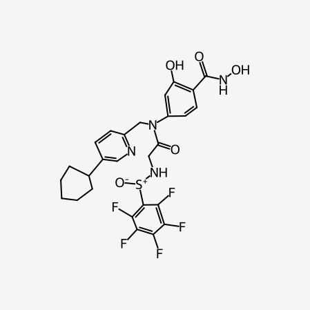 O=C(NO)c1ccc(N(Cc2ccc(C3CCCCC3)cn2)C(=O)CN[S+]([O-])c2c(F)c(F)c(F)c(F)c2F)cc1O